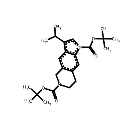 CC(C)c1cn(C(=O)OC(C)(C)C)c2cc3c(cc12)CN(C(=O)OC(C)(C)C)CC3